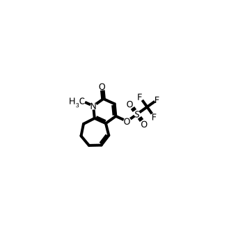 Cn1c2c(c(OS(=O)(=O)C(F)(F)F)cc1=O)C=CCCC2